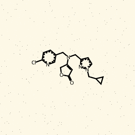 O=C1C=C(N(Cc2ccc(Cl)nc2)Cc2ccn(CC3CC3)n2)CO1